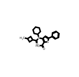 CC1CC(C(=O)N(c2cc(-c3ccccc3)sc2C(=O)O)C2CCCCC2)C1